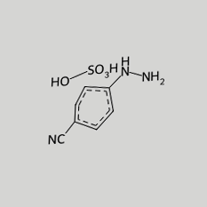 N#Cc1ccc(NN)cc1.O=S(=O)(O)O